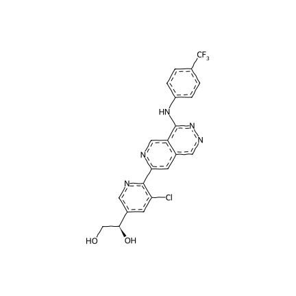 OC[C@H](O)c1cnc(-c2cc3cnnc(Nc4ccc(C(F)(F)F)cc4)c3cn2)c(Cl)c1